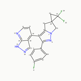 Fc1ccc(-c2nn3c(c2-c2ccnc4[nH]ncc24)CC2(C3)CC2(F)F)cc1